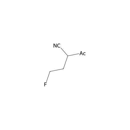 CC(=O)C(C#N)CCF